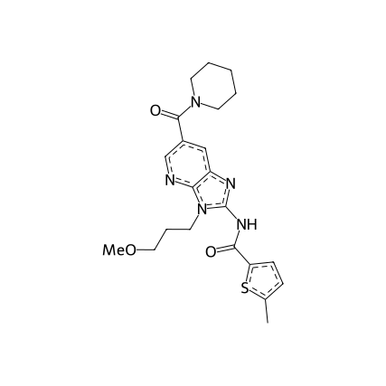 COCCCn1c(NC(=O)c2ccc(C)s2)nc2cc(C(=O)N3CCCCC3)cnc21